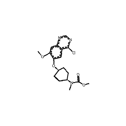 COC(=O)N(C)[C@H]1CC[C@@H](Oc2cc3c(Cl)ncnc3cc2OC)CC1